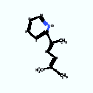 CC(C)=C/C=C(\C)c1ccccn1